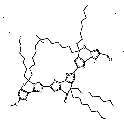 CCCCCCCCC1(CCCCCCCC)Oc2cc(C=O)sc2-c2sc(-c3cc4c(s3)-c3sc(-c5cc6c(s5)-c5sc(OC)cc5OC6(CCCCCCCC)CCCCCCCC)cc3C(=O)C4(CCCCCCCC)CCCCCCCC)cc21